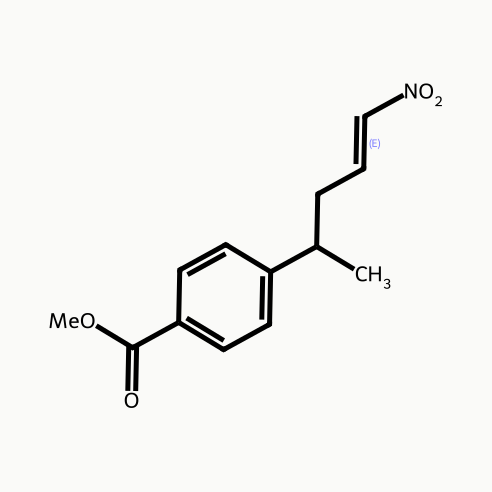 COC(=O)c1ccc(C(C)C/C=C/[N+](=O)[O-])cc1